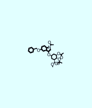 COC(=O)[C@H]1C[C@@H](Oc2cn(C(C)=O)c3ccc(OCc4ccccc4)cc23)C[C@@H](OC(C)=O)[C@@H]1OC(C)=O